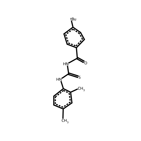 Cc1ccc(NC(=S)NC(=O)c2ccc(C(C)(C)C)cc2)c(C)c1